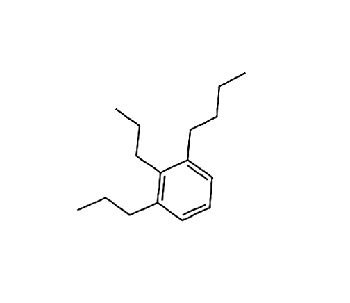 CCCCc1cccc(CCC)c1CCC